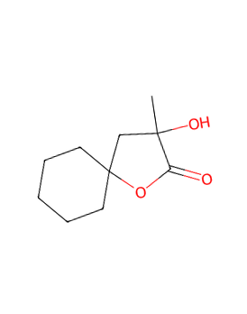 CC1(O)CC2(CCCCC2)OC1=O